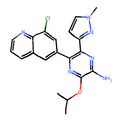 CC(C)Oc1nc(-c2cc(Cl)c3ncccc3c2)c(-c2ccn(C)n2)nc1N